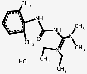 CC[N+](CC)=C(NC(=O)Nc1c(C)cccc1C)N(C)C.Cl